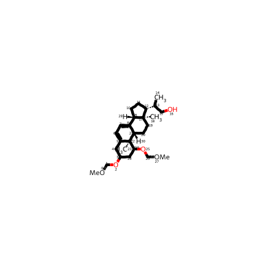 COCOC1CC2=CC=C3[C@@H]4CC[C@H](C(C)CO)[C@@]4(C)CC[C@@H]3[C@@]2(C)C(OCOC)C1